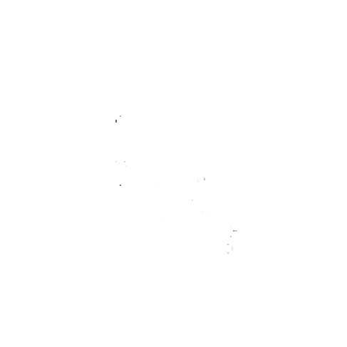 Cc1ccc(C(=O)COC(=O)C2CCC(C(=O)OCC(=O)c3ccc(C)cc3)C2(C)C)cc1